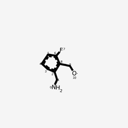 NCc1cccc(F)c1C[O]